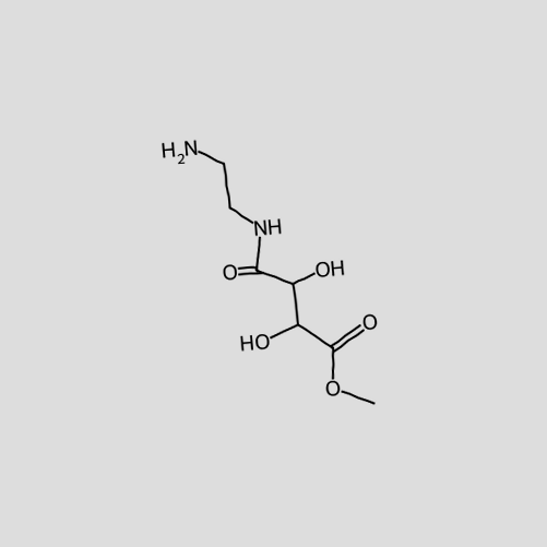 COC(=O)C(O)C(O)C(=O)NCCN